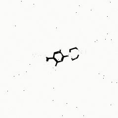 COC(=O)c1cc(Cl)c(N2CCNCC2)cc1N